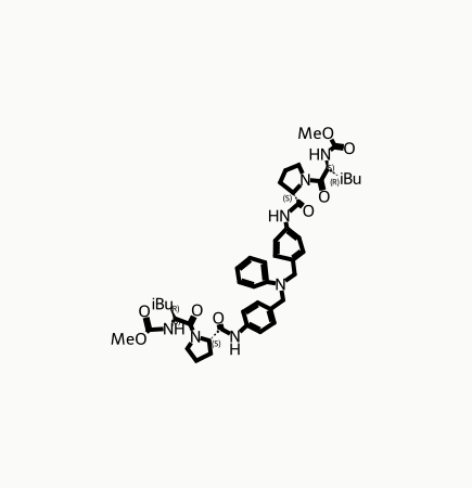 CC[C@@H](C)[C@H](NC(=O)OC)C(=O)N1CCC[C@H]1C(=O)Nc1ccc(CN(Cc2ccc(NC(=O)[C@@H]3CCCN3C(=O)[C@@H](NC(=O)OC)[C@H](C)CC)cc2)c2ccccc2)cc1